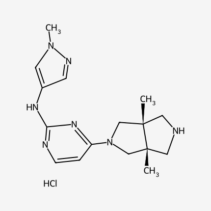 Cl.Cn1cc(Nc2nccc(N3C[C@]4(C)CNC[C@]4(C)C3)n2)cn1